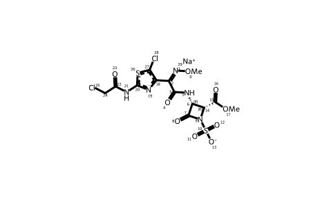 CON=C(C(=O)N[C@H]1C(=O)N(S(=O)(=O)[O-])[C@H]1C(=O)OC)c1nc(NC(=O)CCl)sc1Cl.[Na+]